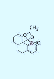 C[C@H]1O[C@@](C=O)([C@]23CCCCC2CCc2ccccc23)O1